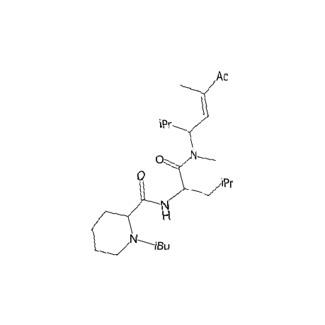 CCC(C)N1CCCCC1C(=O)NC(CC(C)C)C(=O)N(C)C(/C=C(\C)C(C)=O)C(C)C